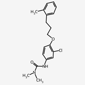 Cc1ccccc1CCCOc1ccc(NC(=O)N(C)C)cc1Cl